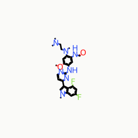 COc1cc(N(C)CCN(C)C)c(NC=O)cc1Nc1nccc(-c2cn(C)c3cc(F)cc(F)c23)n1